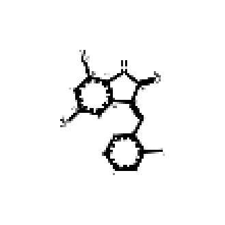 Cc1ccccc1C=C1C(=O)Nc2c(Br)cc(Br)cc21